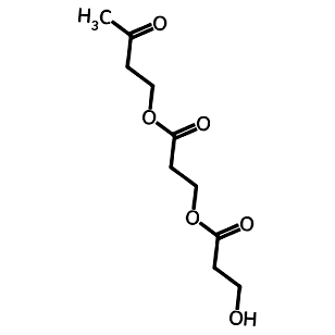 CC(=O)CCOC(=O)CCOC(=O)CCO